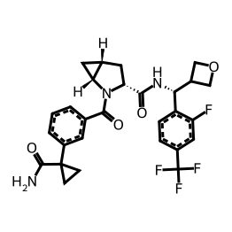 NC(=O)C1(c2cccc(C(=O)N3[C@@H](C(=O)N[C@@H](c4ccc(C(F)(F)F)cc4F)C4COC4)C[C@H]4C[C@H]43)c2)CC1